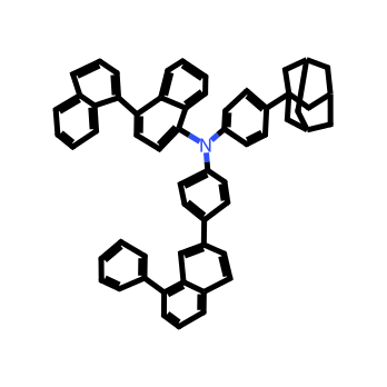 c1ccc(-c2cccc3ccc(-c4ccc(N(c5ccc(C67CC8CC(CC(C8)C6)C7)cc5)c5ccc(-c6cccc7ccccc67)c6ccccc56)cc4)cc23)cc1